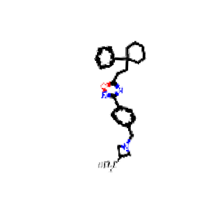 O=C(O)C1CN(Cc2ccc(-c3noc(CCC4(c5ccccc5)CCCCC4)n3)cc2)C1